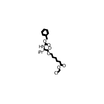 CC(C)[C@H](NC(=O)OCc1ccccc1)C(=O)OCCCCCC(=O)OCCl